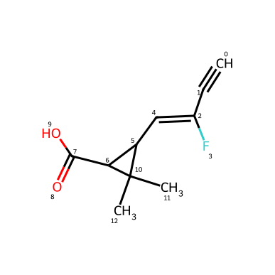 C#CC(F)=CC1C(C(=O)O)C1(C)C